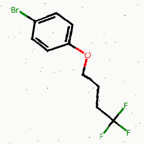 FC(F)(F)CCCOc1[c]cc(Br)cc1